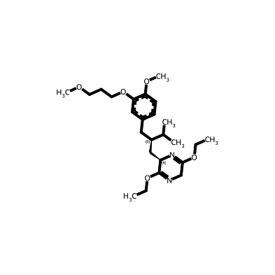 CCOC1=N[C@H](C[C@@H](Cc2ccc(OC)c(OCCCOC)c2)C(C)C)C(OCC)=NC1